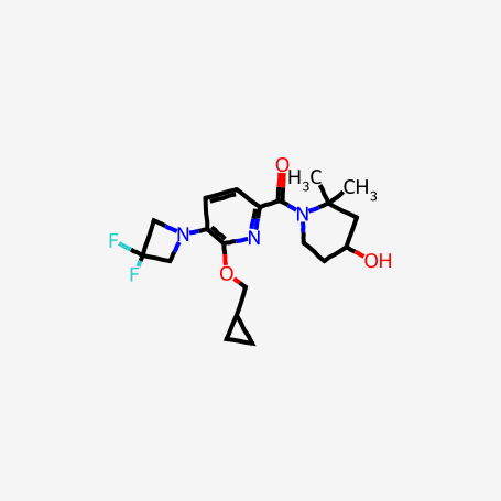 CC1(C)CC(O)CCN1C(=O)c1ccc(N2CC(F)(F)C2)c(OCC2CC2)n1